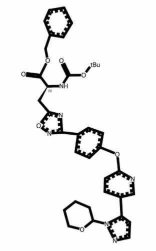 CC(C)(C)OC(=O)N[C@@H](Cc1nc(-c2ccc(Oc3ccc(-c4ccnn4C4CCCCO4)cn3)cc2)no1)C(=O)OCc1ccccc1